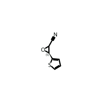 N#CC1O[C@@H]1c1cccs1